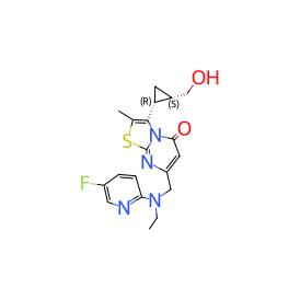 CCN(Cc1cc(=O)n2c([C@@H]3C[C@@H]3CO)c(C)sc2n1)c1ccc(F)cn1